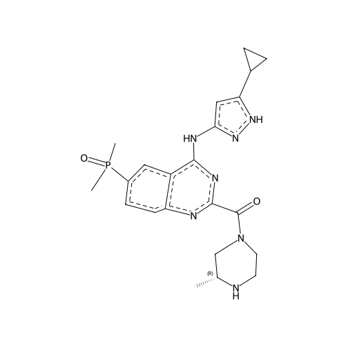 C[C@@H]1CN(C(=O)c2nc(Nc3cc(C4CC4)[nH]n3)c3cc(P(C)(C)=O)ccc3n2)CCN1